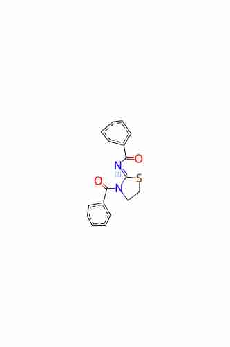 O=C(/N=C1\SCCN1C(=O)c1ccccc1)c1ccccc1